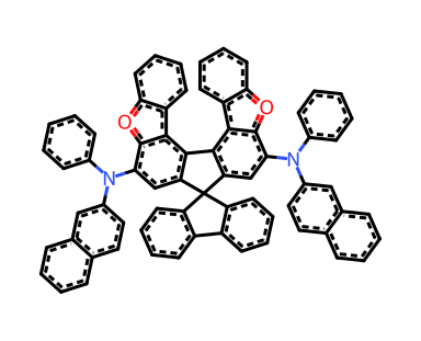 c1ccc(N(c2ccc3ccccc3c2)c2cc3c(c4c2oc2ccccc24)-c2c(cc(N(c4ccccc4)c4ccc5ccccc5c4)c4oc5ccccc5c24)C32c3ccccc3-c3ccccc32)cc1